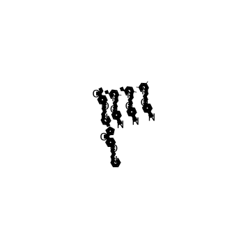 CCC(=O)c1ccc(OCCCN2CCC(C)CC2)cc1.CC[C@@H]1CC[C@H](C)N(CCCOc2ccc(C#N)cc2)C1.CC[C@H]1CC[C@H](C)N(CCCOc2ccc(C#N)cc2)C1.C[C@@H]1C[C@H](C)CN(CCCOc2ccc(C#N)cc2)C1.O=C(c1ccc(OCCCN2CCCCC2)cc1)C1CCCC1